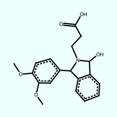 COc1ccc(C2c3ccccc3C(O)N2CCC(=O)O)cc1OC